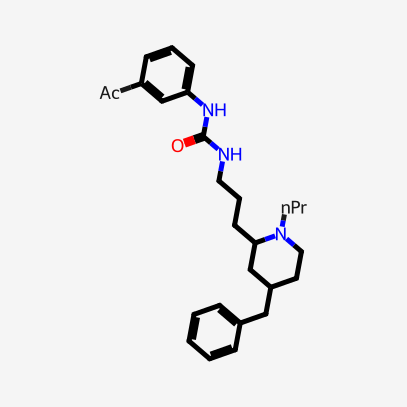 CCCN1CCC(Cc2ccccc2)CC1CCCNC(=O)Nc1cccc(C(C)=O)c1